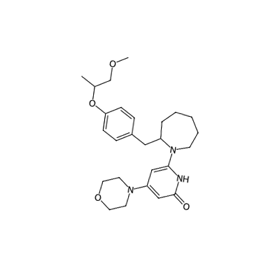 COCC(C)Oc1ccc(CC2CCCCCN2c2cc(N3CCOCC3)cc(=O)[nH]2)cc1